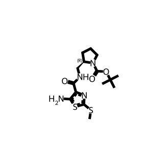 CSc1nc(C(=O)NC[C@H]2CCCN2C(=O)OC(C)(C)C)c(N)s1